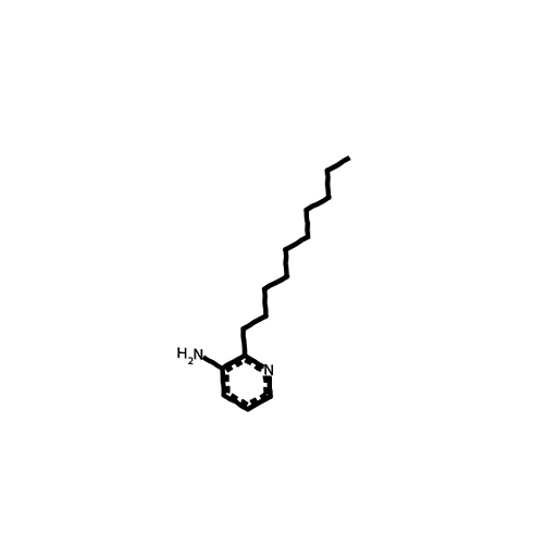 CCCCCCCCCCc1ncccc1N